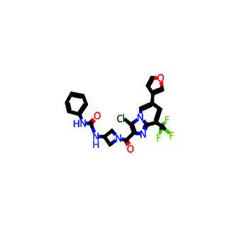 O=C(Nc1ccccc1)NC1CN(C(=O)c2nc3c(C(F)(F)F)cc(-c4ccoc4)cn3c2Cl)C1